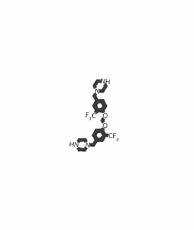 FC(F)(F)c1cc(CN2CCNCC2)ccc1OCOc1ccc(CN2CCNCC2)cc1C(F)(F)F